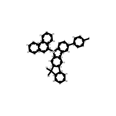 Cc1ccc(-c2ccc3c(c2)c2cc4c(cc2n3-c2cc3ccccc3c3ccccc23)C(C)(C)c2ccccc2-4)cc1